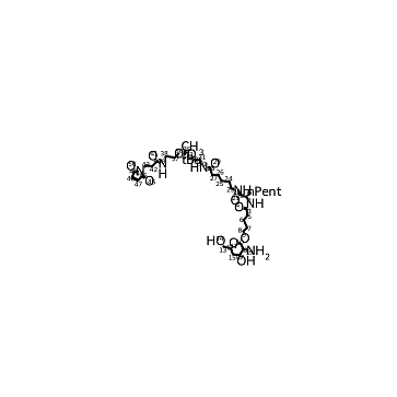 CCCCC[C@H](NC(=O)CCCCOC1OC(CO)C[C@H](O)[C@@H]1N)C(=O)NCCCCCC(=O)NCCOC(C)(OCCNC(=O)CCN1C(=O)C=CC1=O)C(C)(C)C